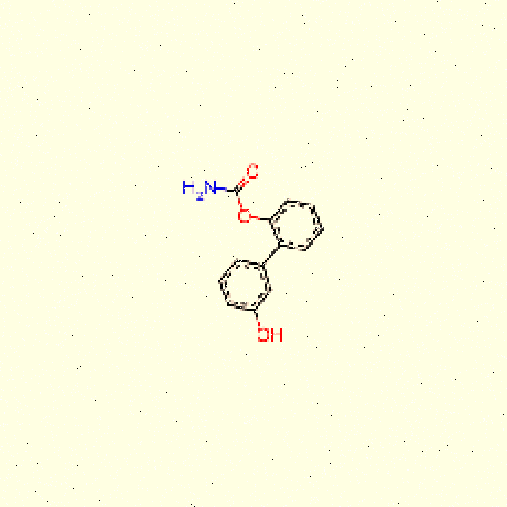 NC(=O)Oc1ccccc1-c1cccc(O)c1